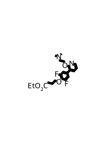 CCOC(=O)CCCOc1c(F)cc(-c2cccnc2OCCN(C)C)cc1F